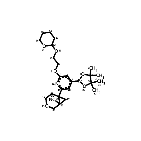 CC1(C)OB(c2cc(OCCOC3CCCCO3)nc(C34CCOCC3(C#N)C4)c2)OC1(C)C